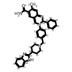 Cc1cc2c(cc1C(N)=O)=CN(c1ccc(CN3CCC(c4nc5ccccc5[nH]4)CC3)cc1)C(c1ccccc1)N=2